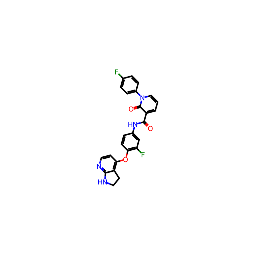 O=C(Nc1ccc(Oc2ccnc3c2CCN3)c(F)c1)c1cccn(-c2ccc(F)cc2)c1=O